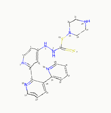 S=C(NNc1ccnc(-c2ncccc2-c2ccccn2)c1)SN1CCNCC1